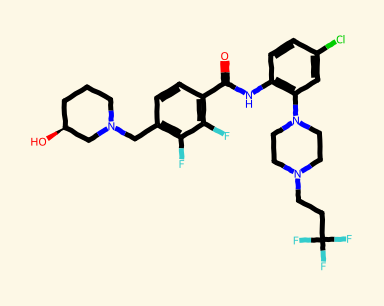 O=C(Nc1ccc(Cl)cc1N1CCN(CCC(F)(F)F)CC1)c1ccc(CN2CCC[C@H](O)C2)c(F)c1F